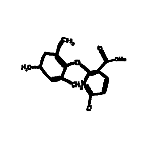 COC(=O)c1ccc(Cl)nc1OC1=C(C)CC(C)C=C1C